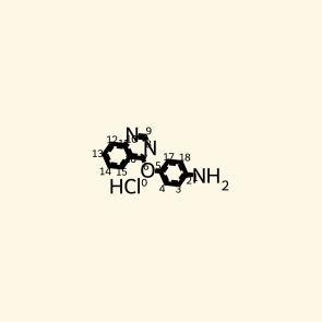 Cl.Nc1ccc(Oc2ncnc3ccccc23)cc1